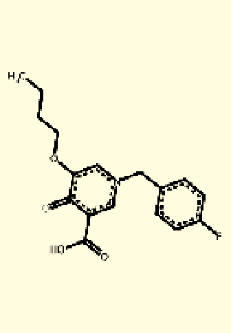 CCCCOc1cn(Cc2ccc(F)cc2)cc(C(=O)O)c1=O